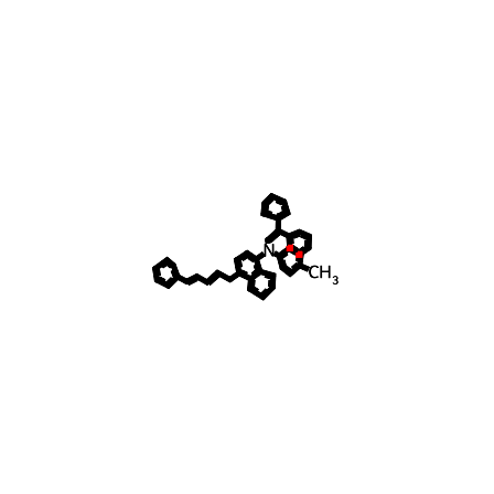 Cc1ccc(N(C=C(c2ccccc2)c2ccccc2)c2ccc(C/C=C/C=C/c3ccccc3)c3ccccc23)cc1